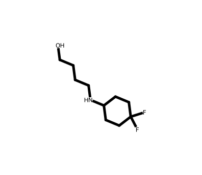 OCCCCNC1CCC(F)(F)CC1